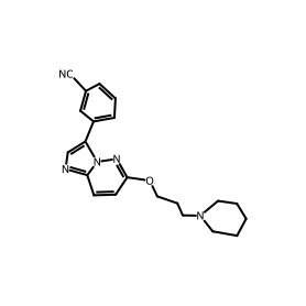 N#Cc1cccc(-c2cnc3ccc(OCCCN4CCCCC4)nn23)c1